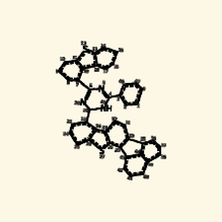 c1ccc(C2=NC(c3cccc4sc5ccccc5c34)=NC(c3cccc4sc5c6c(ccc5c34)-c3cccc4cccc-6c34)N2)cc1